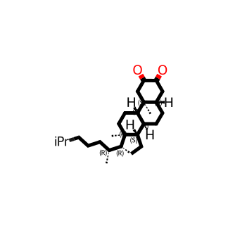 CC(C)CCC[C@@H](C)[C@H]1CC[C@H]2[C@@H]3CC[C@H]4CC(=O)C(=O)C[C@]4(C)[C@H]3CC[C@]12C